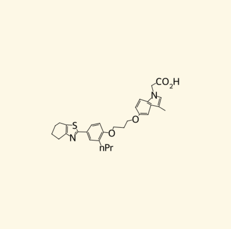 CCCc1cc(-c2nc3c(s2)CCCC3)ccc1OCCCOc1ccc2c(c1)c(C)cn2CC(=O)O